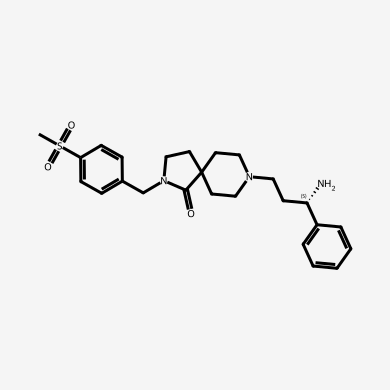 CS(=O)(=O)c1ccc(CN2CCC3(CCN(CC[C@H](N)c4ccccc4)CC3)C2=O)cc1